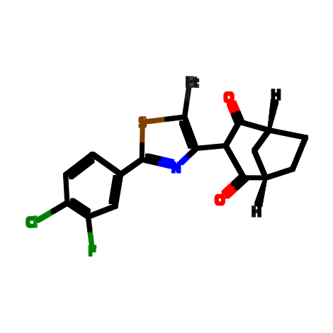 CCc1sc(-c2ccc(Cl)c(F)c2)nc1C1C(=O)[C@@H]2CC[C@@H](C2)C1=O